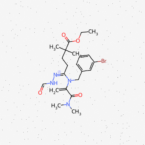 C=C(C(=O)N(C)C)N(Cc1cccc(Br)c1)/C(CCC(C)(C)C(=O)OCC)=N\NC=O